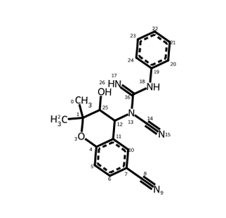 CC1(C)Oc2ccc(C#N)cc2C(N(C#N)C(=N)Nc2ccccc2)C1O